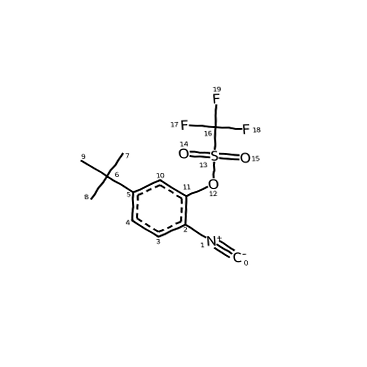 [C-]#[N+]c1ccc(C(C)(C)C)cc1OS(=O)(=O)C(F)(F)F